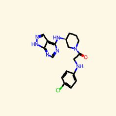 O=C(CNc1ccc(Cl)cc1)N1CCC[C@H](Nc2ncnc3[nH]ncc23)C1